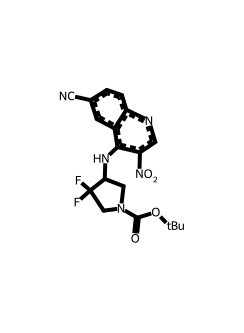 CC(C)(C)OC(=O)N1CC(Nc2c([N+](=O)[O-])cnc3ccc(C#N)cc23)C(F)(F)C1